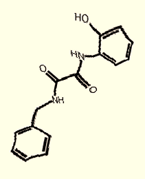 O=C(NCc1ccccc1)C(=O)Nc1ccccc1O